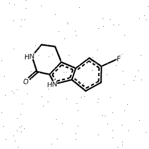 O=C1NCCc2c1[nH]c1ccc(F)cc21